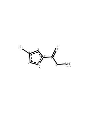 NCC(=O)c1cc(Cl)cs1